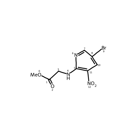 COC(=O)CNc1ncc(Br)cc1[N+](=O)[O-]